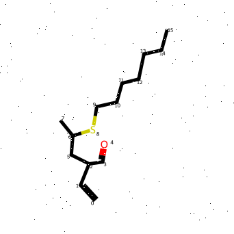 C=CC(C=O)CC(C)SCCCCCCC